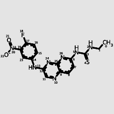 CCNC(=S)Nc1ccc2ncc(Nc3ccc(F)c([N+](=O)[O-])c3)nc2n1